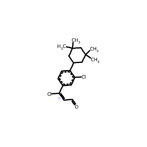 CC1(C)CC(c2ccc(/C(Cl)=C\C=O)cc2Cl)CC(C)(C)C1